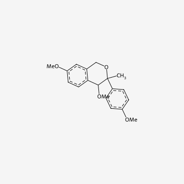 COc1ccc(C2(C)OCc3cc(OC)ccc3C2OC)cc1